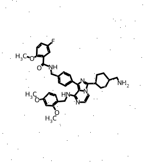 COc1ccc(CNc2nccn3c(C4CCC(CN)CC4)nc(-c4ccc(CNC(=O)c5cc(F)ccc5OC)cc4)c23)c(OC)c1